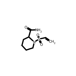 C=CS(=O)(=O)N1CC[CH]CC1C(N)=O